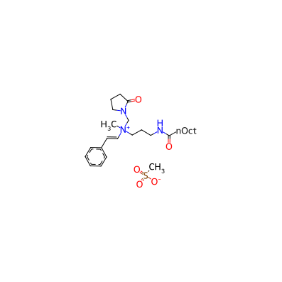 CCCCCCCCC(=O)NCCC[N+](C)(C=Cc1ccccc1)CN1CCCC1=O.CS(=O)(=O)[O-]